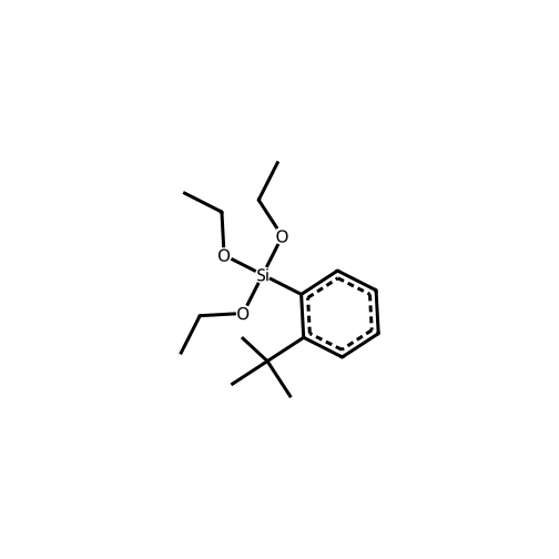 CCO[Si](OCC)(OCC)c1ccccc1C(C)(C)C